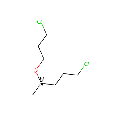 C[SiH](CCCCl)OCCCCl